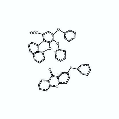 O=C([O-])c1cc(Oc2ccccc2)c(Oc2ccccc2)c(Oc2ccccc2)c1-c1ccccc1.O=c1c2ccccc2oc2ccc([I+]c3ccccc3)cc12